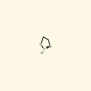 [C+]1=NCCO1.[Cl-]